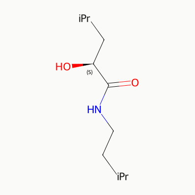 CC(C)CCNC(=O)[C@@H](O)CC(C)C